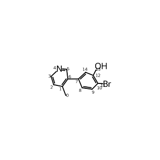 Cc1ccncc1-c1ccc(Br)c(O)c1